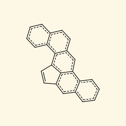 C1=Cc2c3c1cc1ccccc1c3cc1ccc3ccccc3c21